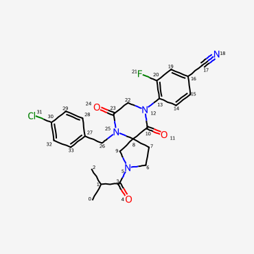 CC(C)C(=O)N1CCC2(C1)C(=O)N(c1ccc(C#N)cc1F)CC(=O)N2Cc1ccc(Cl)cc1